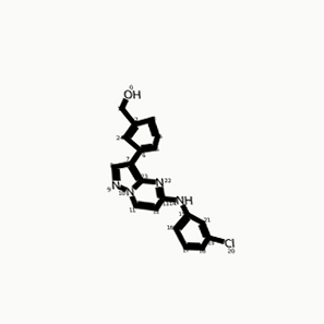 OCc1cccc(-c2cnn3ccc(Nc4cccc(Cl)c4)nc23)c1